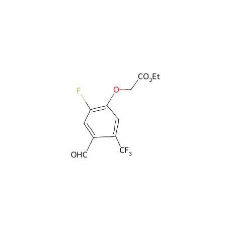 CCOC(=O)COc1cc(C(F)(F)F)c(C=O)cc1F